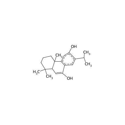 CC(C)c1cc2c(cc1O)C1(C)CCCC(C)(C)C1C=C2O